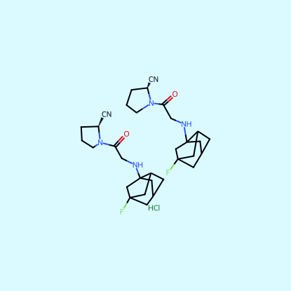 Cl.N#C[C@@H]1CCCN1C(=O)CNC12CC3CC1CC(F)(C3)C2.N#C[C@@H]1CCCN1C(=O)CNC12CC3CC1CC(F)(C3)C2